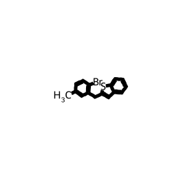 Cc1ccc(Br)c(Cc2cc3ccccc3s2)c1